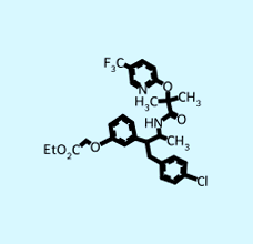 CCOC(=O)COc1cccc(C(Cc2ccc(Cl)cc2)C(C)NC(=O)C(C)(C)Oc2ccc(C(F)(F)F)cn2)c1